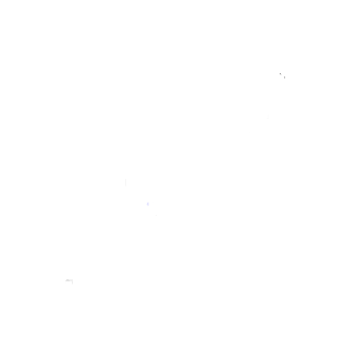 C=C(CN(C)C)C(O)Oc1ccc(/C(F)=C(\F)c2ccc(CCCCC)cc2)cc1